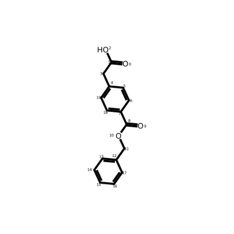 O=C(O)Cc1ccc(C(=O)OCc2ccccc2)cc1